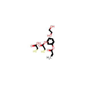 C=CC(=O)Oc1ccccc1.O=C(O)CS.O=C(O)CS.OCCO